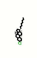 CCCCCCCC[C@H]1CCC2[C@@H]3CCC4C[C@H](Cl)CC[C@]4(C)C3CC[C@@]21C